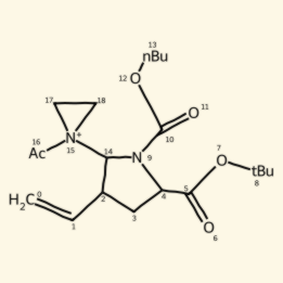 C=CC1CC(C(=O)OC(C)(C)C)N(C(=O)OCCCC)C1[N+]1(C(C)=O)CC1